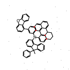 CC1(c2ccccc2)c2ccccc2-c2c(N(c3cccc(-c4cccc5oc6ccccc6c45)c3)c3ccccc3-c3cccc4cccc(C5CCCCC5)c34)cccc21